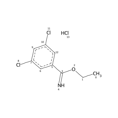 CCOC(=N)c1cc(Cl)cc(Cl)c1.Cl